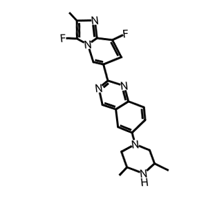 Cc1nc2c(F)cc(-c3ncc4cc(N5CC(C)NC(C)C5)ccc4n3)cn2c1F